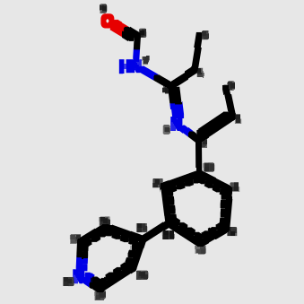 C/C=C(\N=C(/CC)NC=O)c1cccc(-c2ccncc2)c1